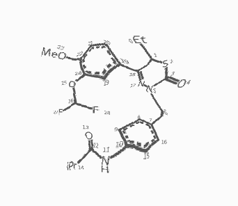 CCC1SC(=O)N(Cc2ccc(NC(=O)C(C)C)cc2)N=C1c1ccc(OC)c(OC(F)F)c1